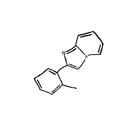 Cc1ccccc1-c1cn2ccccc2n1